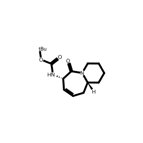 CC(C)(C)OC(=O)N[C@H]1C=CC[C@H]2CCCCN2C1=O